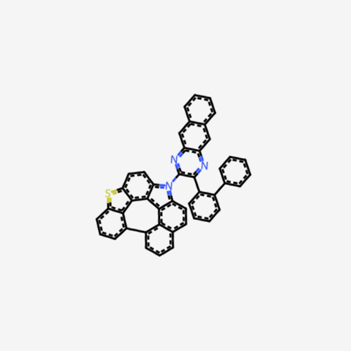 c1ccc(-c2ccccc2-c2nc3cc4ccccc4cc3nc2-n2c3ccc4cccc5c4c3c3c4c(ccc32)sc2cccc-5c24)cc1